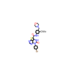 COc1cc(NC(=O)c2sc3ncnc4c3c2NC(=O)N4c2ccc(Br)cc2)ccc1CN1CCOCC1